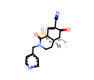 C[C@H]1C(=O)C(C#N)=C[C@@]2(P)C(=O)N(Cc3ccncc3)CC[C@H]12